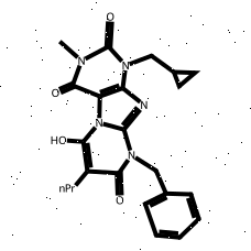 CCCc1c(O)n2c3c(=O)n(C)c(=O)n(CC4CC4)c3nc2n(Cc2ccccc2)c1=O